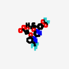 C[C@H](Oc1cc(-n2nc(C(F)(F)F)c3c2[C@@H](OC24CC(C(=O)O)(C2)C4)CCC3)cnn1)c1ccc2c(c1)OC(F)(F)O2